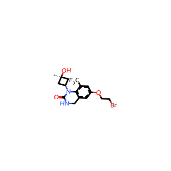 C[C@]1(O)C[C@@H](N2C(=O)NCc3cc(OCCBr)cc(C(F)(F)F)c32)C1